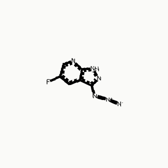 [N-]=[N+]=Nc1n[nH]c2ncc(F)cc12